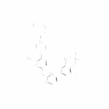 CC(C)N1CC(F)(F)Oc2c(F)cc(-c3nc(Nc4ccc(C5CCN(CCN(C)C)CC5)c(C#N)n4)ncc3F)cc21